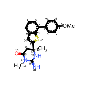 COc1ccc(-c2cccc3cc([C@]4(C)CC(=O)N(C)C(=N)N4)sc23)cc1